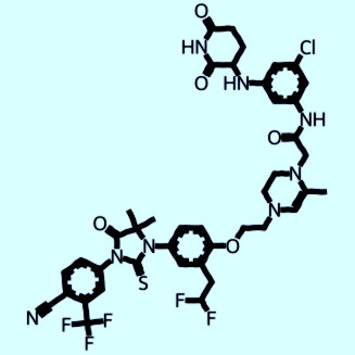 CC1=CN(CCOc2ccc(N3C(=S)N(c4ccc(C#N)c(C(F)(F)F)c4)C(=O)C3(C)C)cc2CC(F)F)CCN1CC(=O)Nc1cc(Cl)cc(NC2CCC(=O)NC2=O)c1